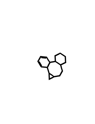 C1=CC2C(C=C1)C1CC1CCC1CCCCC12